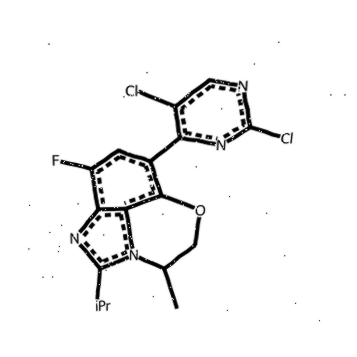 CC(C)c1nc2c(F)cc(-c3nc(Cl)ncc3Cl)c3c2n1C(C)CO3